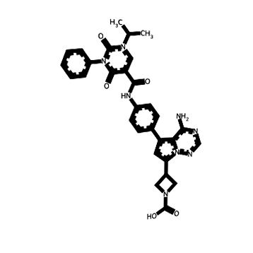 CC(C)n1cc(C(=O)Nc2ccc(-c3cc(C4CN(C(=O)O)C4)n4ncnc(N)c34)cc2)c(=O)n(-c2ccccc2)c1=O